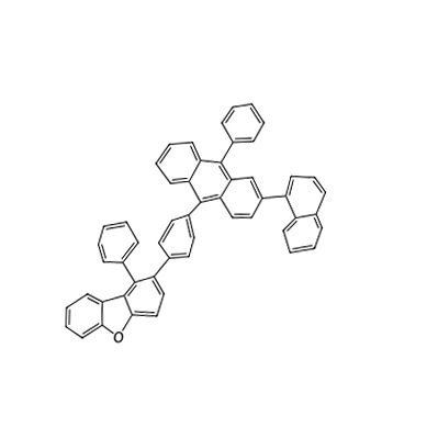 c1ccc(-c2c3ccccc3c(-c3ccc(-c4ccc5oc6ccccc6c5c4-c4ccccc4)cc3)c3ccc(-c4cccc5ccccc45)cc23)cc1